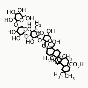 C[C@@H]1O[C@@H](O[C@H]2[C@H](O[C@H]3CC[C@@]4(C)C(CC[C@]5(C)C4CC=C4C6CC(C)(C)CC[C@]6(C(=O)O)CCC45C)[C@@]3(C)CO)OC[C@H](O)[C@@H]2O)[C@H](O)[C@H](O[C@@H]2OC[C@@H](O[C@@H]3O[C@H](CO)[C@@H](O)[C@H](O)[C@H]3O)[C@H](O)[C@H]2O)[C@H]1O